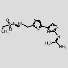 CCS(=O)(=O)/N=C/NCc1nc(-c2csc(N=C(N)N)n2)cs1